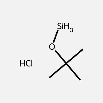 CC(C)(C)O[SiH3].Cl